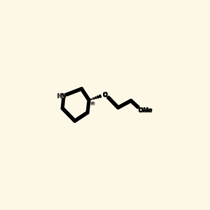 COCCO[C@@H]1CCCNC1